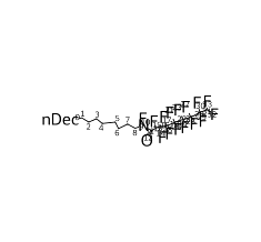 CCCCCCCCCCCCCCCCCCN(F)C(=O)C(F)(F)C(F)(F)C(F)(F)C(F)(F)C(F)(F)C(F)(F)C(F)F